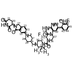 CC1(C)CN(CC2CCN(c3ccc4c(c3)C(=O)N([C@@H]3CCC(=O)NC3=O)C4)CC2)CCN1C(=O)N1CCN2c3cc(-c4cccc(F)c4O)nnc3NC[C@]2(C(F)(F)F)C1